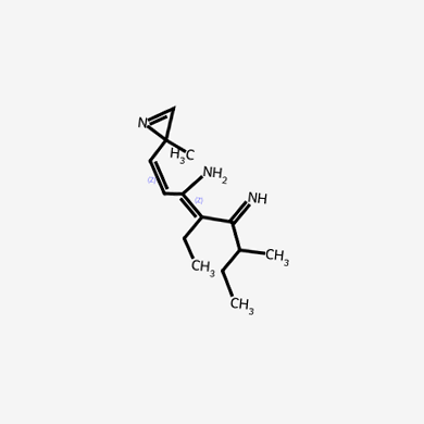 CC/C(C(=N)C(C)CC)=C(N)\C=C/C1(C)C=N1